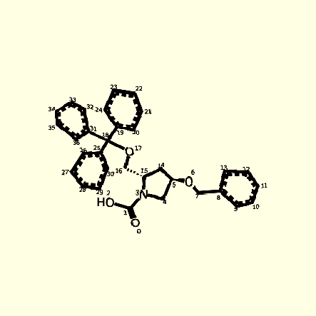 O=C(O)N1C[C@H](OCc2ccccc2)C[C@H]1COC(c1ccccc1)(c1ccccc1)c1ccccc1